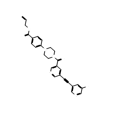 C=CCOC(=O)c1ccc(N2CCN(C(=O)c3cncc(C#Cc4cncc(O)c4)c3)CC2)cc1